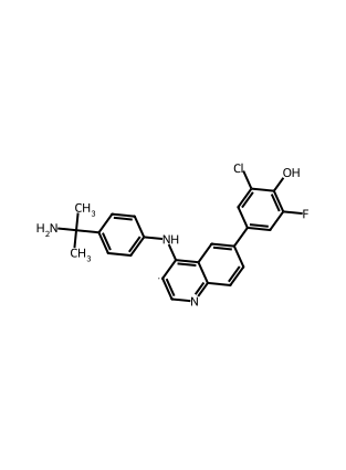 CC(C)(N)c1ccc(Nc2[c]cnc3ccc(-c4cc(F)c(O)c(Cl)c4)cc23)cc1